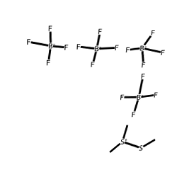 CS[S+](C)C.F[B-](F)(F)F.F[B-](F)(F)F.F[B-](F)(F)F.F[B-](F)(F)F